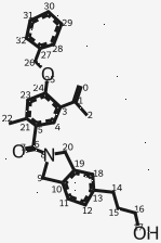 C=C(C)c1cc(C(=O)N2Cc3ccc(CCCO)cc3C2)c(C)cc1OCc1ccccc1